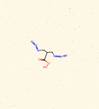 [N-]=[N+]=NCC(CN=[N+]=[N-])C(=O)OO